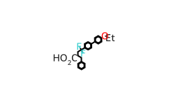 CCOc1ccc(-c2ccc(C(F)(F)CC(Cc3ccccc3)C(=O)O)cc2)cc1